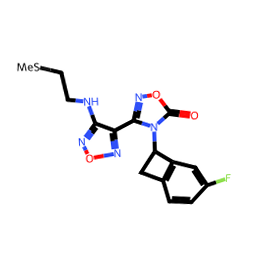 CSCCNc1nonc1-c1noc(=O)n1C1Cc2ccc(F)cc21